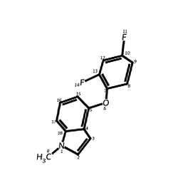 Cn1ccc2c(Oc3ccc(F)cc3F)cccc21